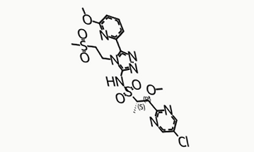 COc1cccc(-c2nnc(NS(=O)(=O)[C@@H](C)[C@H](OC)c3ncc(Cl)cn3)n2CCS(C)(=O)=O)n1